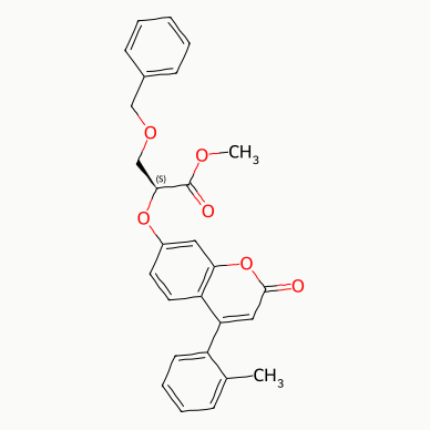 COC(=O)[C@H](COCc1ccccc1)Oc1ccc2c(-c3ccccc3C)cc(=O)oc2c1